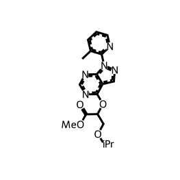 COC(=O)C(COC(C)C)Oc1ncnc2c1cnn2-c1ncccc1C